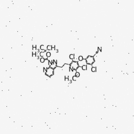 COc1nc(CCc2nn(C(=O)OC(C)(C)C)c3ncccc23)c(Cl)c(Oc2cc(Cl)cc(C#N)c2)c1Cl